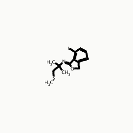 CSCC(C)(C)N=C1OCc2cccc(I)c21